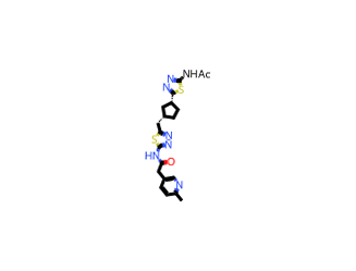 CC(=O)Nc1nnc([C@@H]2CC[C@H](Cc3nnc(NC(=O)Cc4ccc(C)nc4)s3)C2)s1